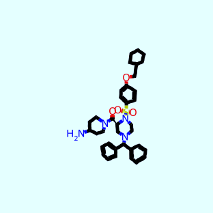 NC1CCN(C(=O)[C@@H]2CN(C(c3ccccc3)c3ccccc3)CCN2S(=O)(=O)c2ccc(OCC3CCCCC3)cc2)CC1